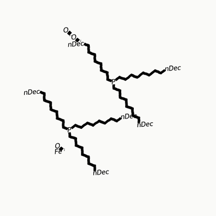 CCCCCCCCCCCCCCCCCCP(CCCCCCCCCCCCCCCCCC)CCCCCCCCCCCCCCCCCC.CCCCCCCCCCCCCCCCCCP(CCCCCCCCCCCCCCCCCC)CCCCCCCCCCCCCCCCCC.[C]=O.[C]=O.[C]=O.[Fe]